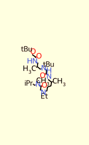 CCN(CCCC(C)CNC(=O)CN(CC(C)CNC(=O)COC(C)(C)C)C(C)(C)C)CC(=O)N(C)CC(C)C